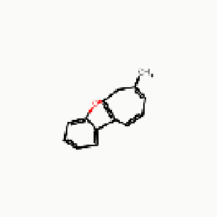 CC1=CC=Cc2c(oc3ccccc23)C1